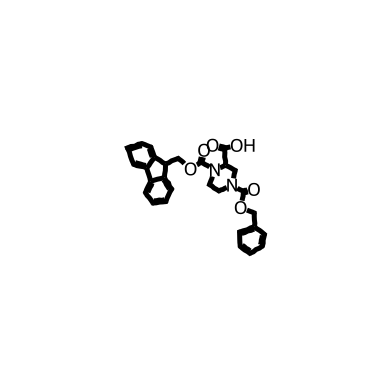 O=C(O)C1CN(C(=O)OCc2ccccc2)CCN1C(=O)OCC1c2ccccc2-c2ccccc21